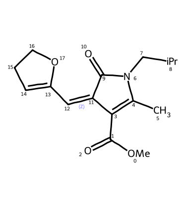 COC(=O)C1=C(C)N(CC(C)C)C(=O)/C1=C\C1=CCCO1